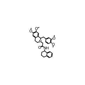 COc1ccc(CC2c3cc(OC)c(OC)cc3CCN2CC(=O)NC2CCCc3ccccc32)cc1OC